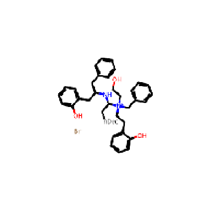 CCCCCCCCCCCC(NC(Cc1ccccc1)Cc1ccccc1O)[N+](CCO)(CCc1ccccc1O)Cc1ccccc1.[Br-]